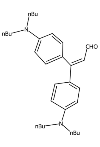 CCCCN(CCCC)c1ccc(C(=CC=O)c2ccc(N(CCCC)CCCC)cc2)cc1